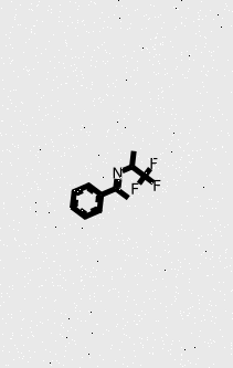 CC(=NC(C)C(F)(F)F)c1ccccc1